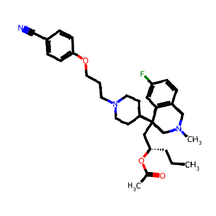 CCC[C@@H](CC1(C2CCN(CCCOc3ccc(C#N)cc3)CC2)CN(C)Cc2ccc(F)cc21)OC(C)=O